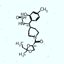 CCC1(C)OC[C@H](C(=O)N2CCC([C@@H](N[SH]=O)c3ccc(C)cc3O)CC2)O1